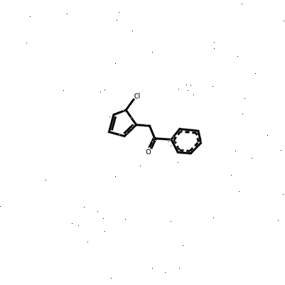 O=C(CC1=CC=CC1Cl)c1ccccc1